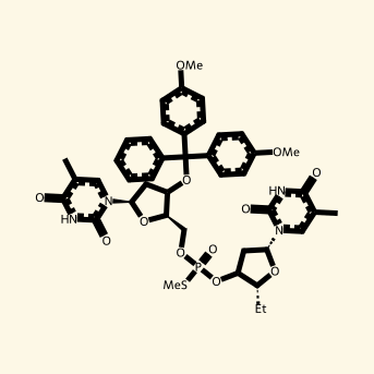 CC[C@H]1O[C@@H](n2cc(C)c(=O)[nH]c2=O)CC1OP(=O)(OC[C@H]1O[C@@H](n2cc(C)c(=O)[nH]c2=O)CC1OC(c1ccccc1)(c1ccc(OC)cc1)c1ccc(OC)cc1)SC